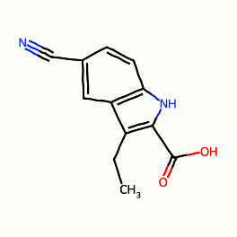 CCc1c(C(=O)O)[nH]c2ccc(C#N)cc12